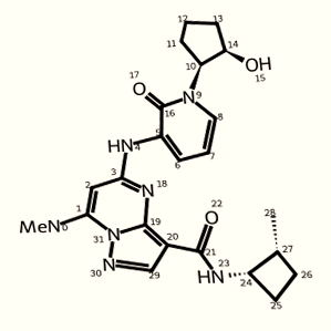 CNc1cc(Nc2cccn([C@H]3CCC[C@H]3O)c2=O)nc2c(C(=O)N[C@H]3CC[C@H]3C)cnn12